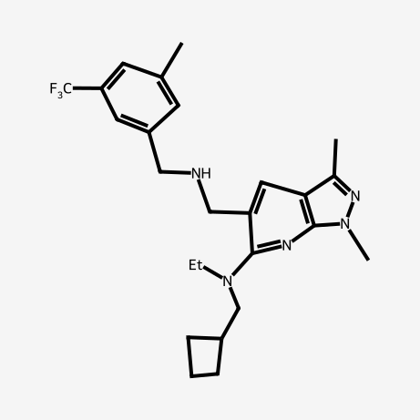 CCN(CC1CCC1)c1nc2c(cc1CNCc1cc(C)cc(C(F)(F)F)c1)c(C)nn2C